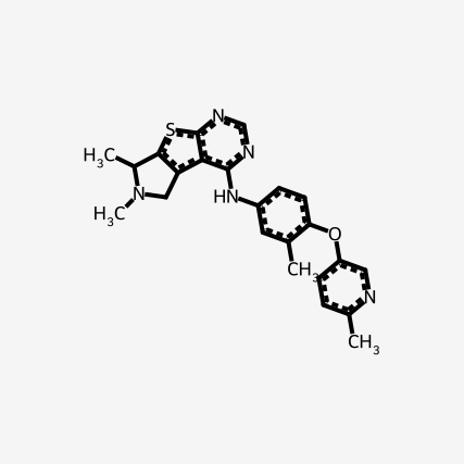 Cc1ccc(Oc2ccc(Nc3ncnc4sc5c(c34)CN(C)C5C)cc2C)cn1